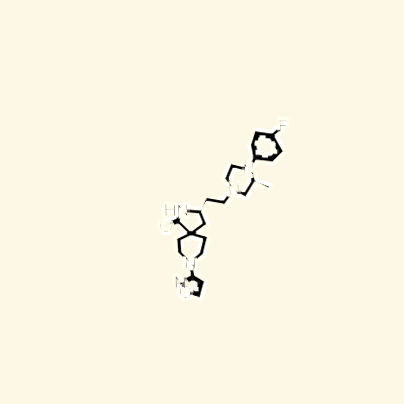 C[C@H]1CN(CC[C@H]2CC3(CCN(c4ccon4)CC3)C(=O)N2)CCN1c1ccc(F)cc1